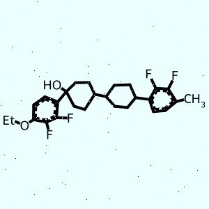 CCOc1ccc(C2(O)CCC(C3CCC(c4ccc(C)c(F)c4F)CC3)CC2)c(F)c1F